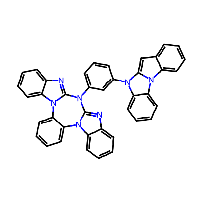 c1cc(-n2c3ccccc3n3c4ccccc4cc23)cc(-n2c3nc4ccccc4n3c3ccccc3n3c4ccccc4nc23)c1